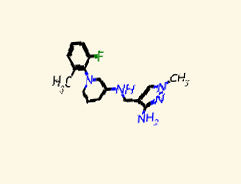 Cc1cccc(F)c1N1CCCC(NCc2cn(C)nc2N)C1